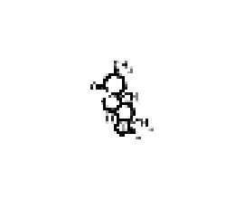 CC1CC[C@]2(C)C3CC[C@]4(C)C(=O)CC[C@H]4[C@@H]3CCN2C(=O)C1